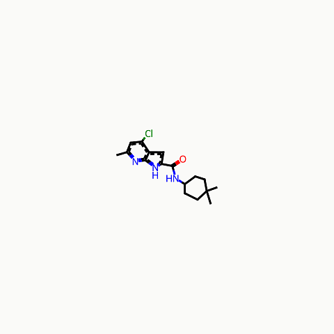 Cc1cc(Cl)c2cc(C(=O)NC3CCC(C)(C)CC3)[nH]c2n1